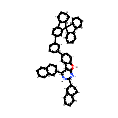 c1cc(-c2ccc3c(c2)C2(c4ccccc4-c4ccccc42)c2ccccc2-3)cc(-c2ccc3oc4nc(-c5ccc6ccccc6c5)nc(-c5ccc6ccccc6c5)c4c3c2)c1